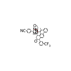 Cc1c(C(=O)N2CCOCC2)c2c3c(ccc2c2ccccc12)C(c1cccc(C(F)(F)F)c1)C(=O)CC3c1ccnc(-c2ccc(C#N)cc2)n1